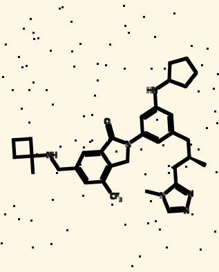 C[C@H](Cc1cc(NC2CCCC2)cc(N2Cc3c(cc(CNC4(C)CCC4)cc3C(F)(F)F)C2=O)c1)Cc1nncn1C